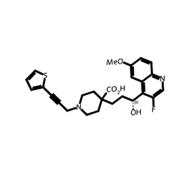 COc1ccc2ncc(F)c([C@H](O)CCC3(C(=O)O)CCN(CC#Cc4cccs4)CC3)c2c1